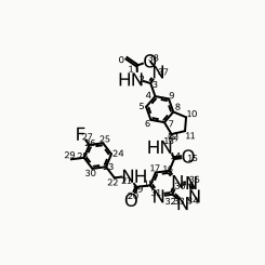 C=C1NC(c2ccc3c(c2)CC[C@@H]3NC(=O)c2cc(C(=O)NCc3ccc(F)c(C)c3)nc3nnnn23)=NO1